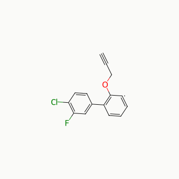 C#CCOc1[c]cccc1-c1ccc(Cl)c(F)c1